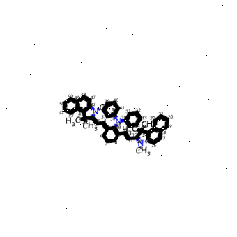 CN1/C(=C\C=C2/CCCC(/C=C/C3=[N+](C)c4ccc5ccccc5c4C3(C)C)=C2N(c2ccccc2)c2ccccc2)C(C)(C)c2c1ccc1ccccc21